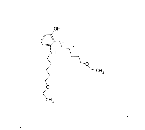 CCOCCCCCNc1cccc(O)c1NCCCCCOCC